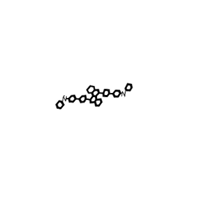 CN(c1ccccc1)c1ccc(-c2ccc(-c3cc4ccccc4c4c(-c5ccc(-c6ccc(N(C)c7ccccc7)cc6)cc5)cc5c(c34)CC=CC5)cc2)cc1